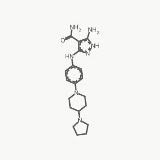 NC(=O)c1c(Nc2ccc(N3CCC(N4CCCC4)CC3)cc2)n[nH]c1N